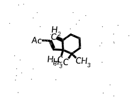 C=C1CCCC(C)(C)C1(C)C=CC(C)=O